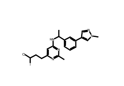 Cc1nc(CCC(Cl)I)cc(NC(C)c2cccc(-c3cnn(C)c3)c2)n1